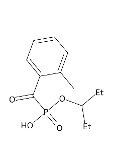 CCC(CC)OP(=O)(O)C(=O)c1ccccc1C